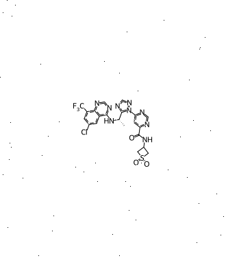 C[C@H](Nc1ncnc2c(C(F)(F)F)cc(Cl)cc12)c1ncnn1-c1cc(C(=O)NC2CS(=O)(=O)C2)ncn1